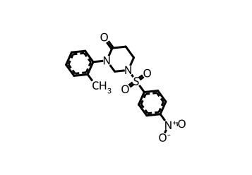 Cc1ccccc1N1CN(S(=O)(=O)c2ccc([N+](=O)[O-])cc2)CCC1=O